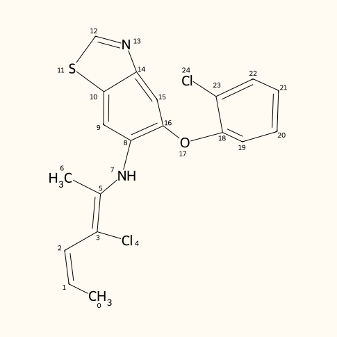 C/C=C\C(Cl)=C(/C)Nc1cc2scnc2cc1Oc1ccccc1Cl